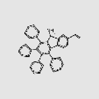 C=Cc1ccc2c(c1)C(N)c1c(-c3ccccc3)c(-c3ccccc3)c(-c3ccccc3)c(-c3ccccc3)c1-2